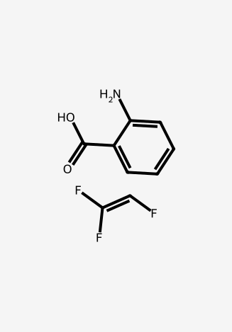 FC=C(F)F.Nc1ccccc1C(=O)O